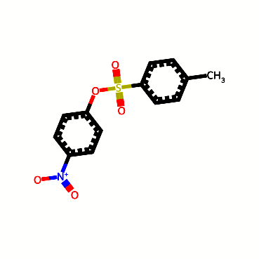 Cc1ccc(S(=O)(=O)Oc2ccc([N+](=O)[O-])cc2)cc1